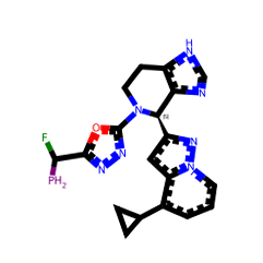 FC(P)c1nnc(N2CCc3[nH]cnc3[C@H]2c2cc3c(C4CC4)cccn3n2)o1